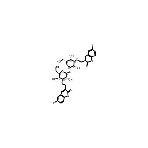 O=c1oc2ccc(F)cc2cc1CO[C@H]1[C@@H](O)[C@@H](CO)O[C@@H](S[C@@H]2O[C@H](CO)[C@H](O)[C@H](OCc3cc4cc(F)ccc4oc3=O)[C@H]2O)[C@@H]1O